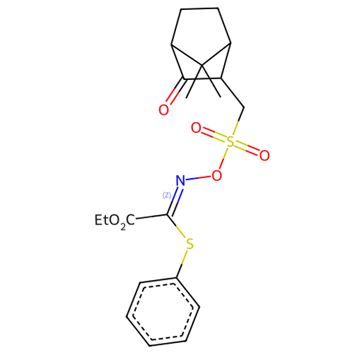 CCOC(=O)/C(=N/OS(=O)(=O)CC1C(=O)C2CCC1C2(C)C)Sc1ccccc1